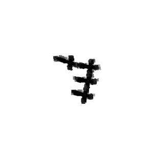 N#CS(=O)(=O)[O-].N#CS(=O)(=O)[O-].N#CS(=O)(=O)[O-].N#CS(=O)(=O)[O-].[Pb+4]